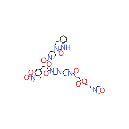 Cc1cc(C[C@@H](OC(=O)N2CCC(N3CCc4ccccc4NC3=O)CC2)C(=O)N2CCN(C3CCN(C(=O)CCC(=O)OCCCN4CCOCC4)CC3)CC2)cc2oc(=O)n(C)c12